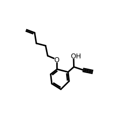 C#CC(O)c1ccccc1OCCCC=C